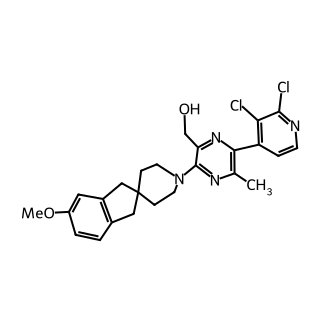 COc1ccc2c(c1)CC1(CCN(c3nc(C)c(-c4ccnc(Cl)c4Cl)nc3CO)CC1)C2